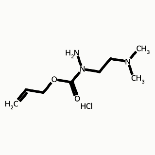 C=CCOC(=O)N(N)CCN(C)C.Cl